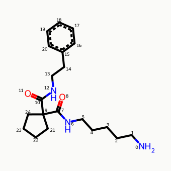 NCCCCCNC(=O)C1(C(=O)NCCc2ccccc2)CCCC1